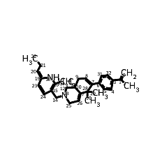 C=C(C)c1ccc(C2=CC[C@]3(C)CN(CC4=C(C)N/C(=C\CC)C=C4)CC=C3C2(C)C)cc1